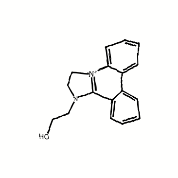 OCCN1CC[n+]2c1c1ccccc1c1ccccc12